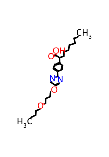 CCCCCCCCC(C(=O)O)c1ccc(-c2ncc(OCCCCOCCCCC)cn2)cc1